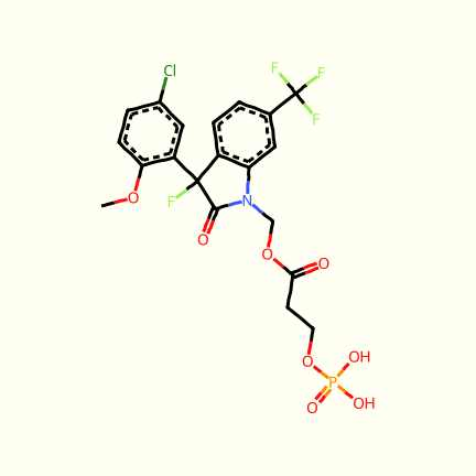 COc1ccc(Cl)cc1C1(F)C(=O)N(COC(=O)CCOP(=O)(O)O)c2cc(C(F)(F)F)ccc21